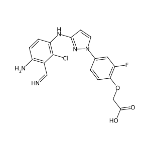 N=Cc1c(N)ccc(Nc2ccn(-c3ccc(OCC(=O)O)c(F)c3)n2)c1Cl